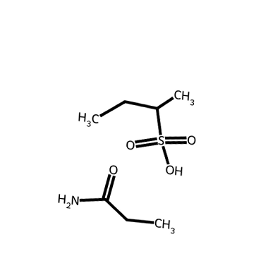 CCC(C)S(=O)(=O)O.CCC(N)=O